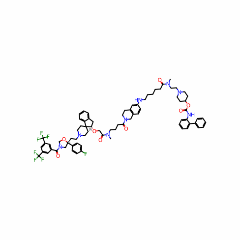 CN(CCN1CCC(OC(=O)Nc2ccccc2-c2ccccc2)CC1)C(=O)CCCCCNc1ccc2c(c1)CCN(C(=O)CCCN(C)C(=O)CO[C@H]1Cc3ccccc3C13CCN(CC[C@@]1(c4ccc(F)cc4)CN(C(=O)c4cc(C(F)(F)F)cc(C(F)(F)F)c4)CO1)CC3)C2